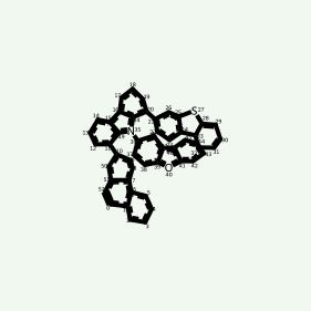 c1c2ccccc2c2ccc(-c3cccc4c5cccc(-c6ccc7c(c6)SC6=CC=CCC67)c5n(-c5ccc6oc7ccccc7c6c5)c34)cc2c#1